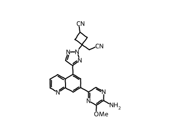 COc1nc(-c2cc(-c3cnn(C4(CC#N)CC(C#N)C4)n3)c3cccnc3c2)cnc1N